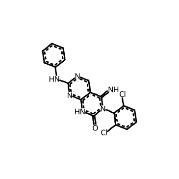 N=c1c2cnc(Nc3ccccc3)nc2[nH]c(=O)n1-c1c(Cl)cccc1Cl